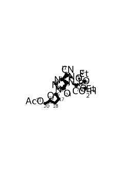 CCOP(=O)(OCC)C(C(=O)O)n1nc(C#N)c2nnn(C3CCC(COC(C)=O)O3)c(=O)c21